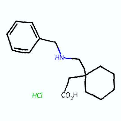 Cl.O=C(O)CC1(CNCc2ccccc2)CCCCC1